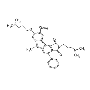 COc1cc2c3c4c(c(-c5ccccc5)cc3n(C)c2cc1OCCCN(C)C)C(=O)N(CCCN(C)C)C4=O